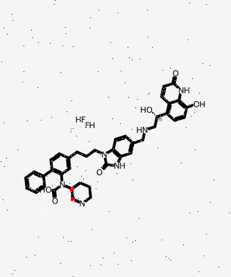 F.F.O=C(O)N(c1cc(CCCn2c(=O)[nH]c3cc(CNC[C@H](O)c4ccc(O)c5[nH]c(=O)ccc45)ccc32)ccc1-c1ccccc1)C1CN2CCC1CC2